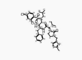 Cc1nc(CN2CCN([C@H](C(=O)N[C@@H](Cc3ccccc3)[C@H](O)CN(CC(C)C)S(=O)(=O)c3ccc(Cl)cc3Cl)C(C)C)C2=O)cs1